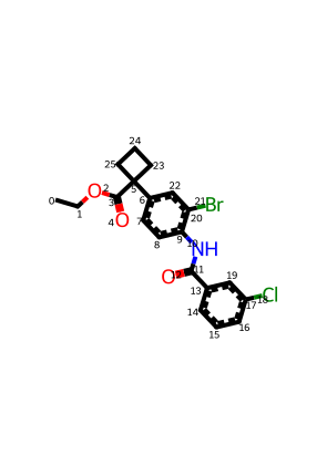 CCOC(=O)C1(c2ccc(NC(=O)c3cccc(Cl)c3)c(Br)c2)CCC1